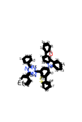 C/C=C(\C=C/CC)c1nc(-c2ccccc2)nc(-c2cc(-n3c4ccccc4c4c5oc6ccccc6c5ccc43)cc3c2sc2ccccc23)n1